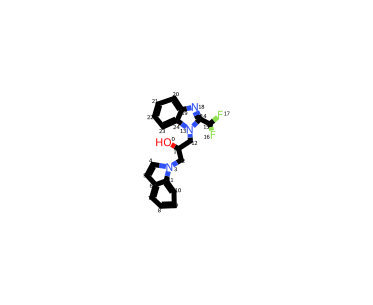 OC(Cn1ccc2ccccc21)Cn1c(C(F)F)nc2ccccc21